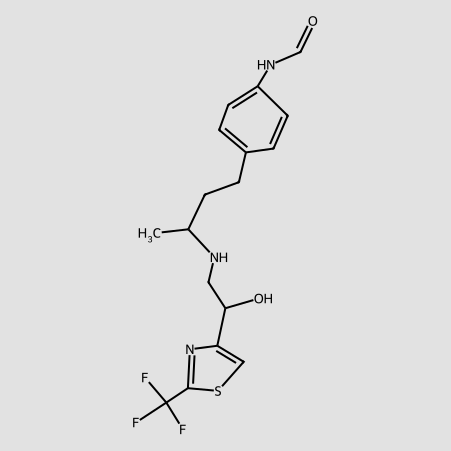 CC(CCc1ccc(NC=O)cc1)NCC(O)c1csc(C(F)(F)F)n1